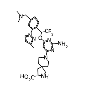 Cc1ccn(-c2cc(CN(C)C)ccc2[C@@H](Oc2cc(N3CCC4(CC3)CN[C@H](C(=O)O)C4)nc(N)n2)C(F)(F)F)n1